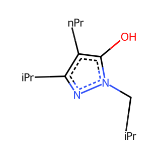 CCCc1c(C(C)C)nn(CC(C)C)c1O